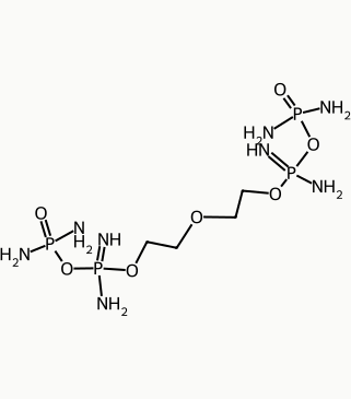 N=P(N)(OCCOCCOP(=N)(N)OP(N)(N)=O)OP(N)(N)=O